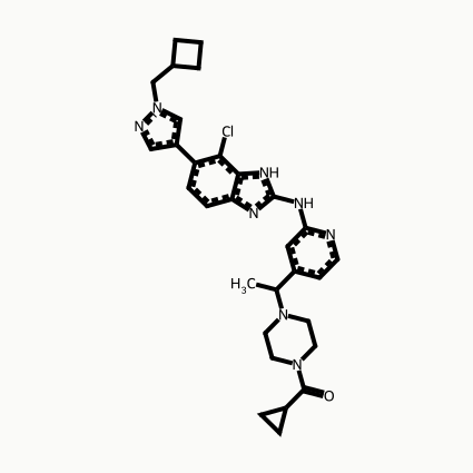 CC(c1ccnc(Nc2nc3ccc(-c4cnn(CC5CCC5)c4)c(Cl)c3[nH]2)c1)N1CCN(C(=O)C2CC2)CC1